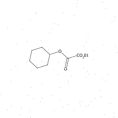 CCOC(=O)C(=O)OC1CCCCC1